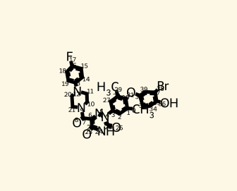 Cc1cc(-n2nc(C(=O)N3CCN(c4ccc(F)cc4)CC3)c(=O)[nH]c2=O)cc(C)c1Oc1ccc(O)c(Br)c1